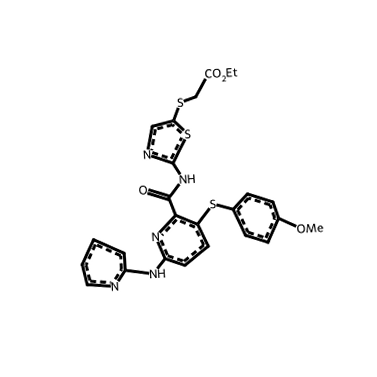 CCOC(=O)CSc1cnc(NC(=O)c2nc(Nc3ccccn3)ccc2Sc2ccc(OC)cc2)s1